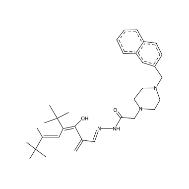 C=C(/C=N/NC(=O)CN1CCN(Cc2ccc3ccccc3c2)CC1)/C(O)=C(\C=C(/C)C(C)(C)C)C(C)(C)C